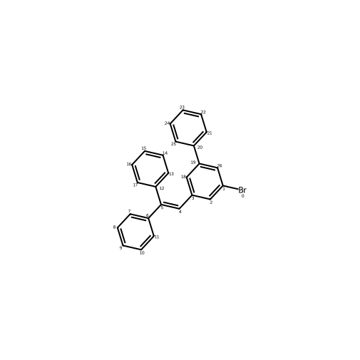 Brc1cc(C=C(c2ccccc2)c2ccccc2)cc(-c2ccccc2)c1